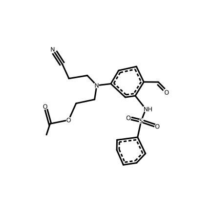 CC(=O)OCCN(CCC#N)c1ccc(C=O)c(NS(=O)(=O)c2ccccc2)c1